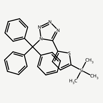 C[Si](C)(C)c1ccc(-c2nnnn2C(c2ccccc2)(c2ccccc2)c2ccccc2)s1